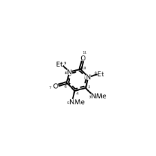 CCn1c(NC)c(NC)c(=O)n(CC)c1=O